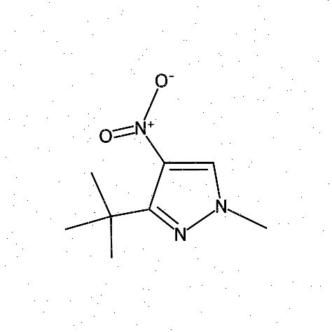 Cn1cc([N+](=O)[O-])c(C(C)(C)C)n1